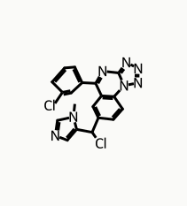 Cn1cncc1C(Cl)c1ccc2c(c1)c(-c1cccc(Cl)c1)nc1nnnn12